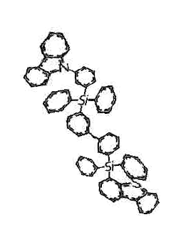 c1ccc([Si](c2ccccc2)(c2cccc(-c3cccc([Si](c4ccccc4)(c4ccccc4)c4cccc5c4sc4ccccc45)c3)c2)c2cccc(-n3c4ccccc4c4ccccc43)c2)cc1